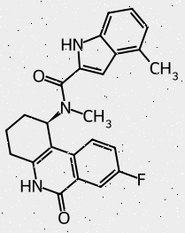 Cc1cccc2[nH]c(C(=O)N(C)[C@@H]3CCCc4[nH]c(=O)c5cc(F)ccc5c43)cc12